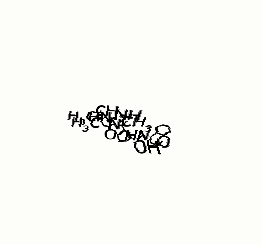 CC(c1cccc(C(O)N[C@H]2CCOc3ccccc32)c1)N1C(=N)N[C@](C)(C(C)C)CC1=O